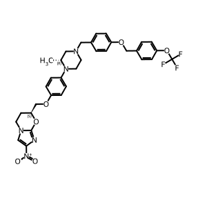 C[C@@H]1CN(Cc2ccc(OCc3ccc(OC(F)(F)F)cc3)cc2)CCN1c1ccc(OC[C@@H]2CCn3cc([N+](=O)[O-])nc3O2)cc1